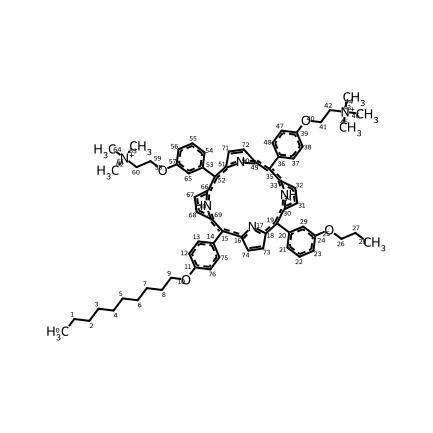 CCCCCCCCCCOc1ccc(-c2c3nc(c(-c4cccc(OCCC)c4)c4ccc([nH]4)c(-c4ccc(OCC[N+](C)(C)C)cc4)c4nc(c(-c5cccc(OCC[N+](C)(C)C)c5)c5ccc2[nH]5)C=C4)C=C3)cc1